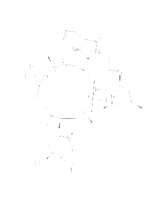 CC[C@H]1OC(=O)[C@H](C)[C@@H](O[C@H]2C[C@@](C)(OC)[C@@H](O)[C@H](C)O2)[C@H](C)[C@@H](O[C@@H]2O[C@H](C)C[C@H](N(C)CCN3C(=O)c4ccccc4C3=O)[C@H]2O)[C@](C)(O)C[C@@H](C)CN(C)[C@H](C)[C@@H](O)[C@]1(C)O